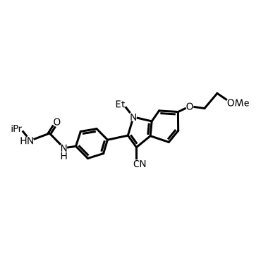 CCn1c(-c2ccc(NC(=O)NC(C)C)cc2)c(C#N)c2ccc(OCCOC)cc21